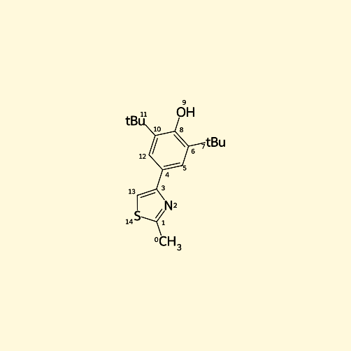 Cc1nc(-c2cc(C(C)(C)C)c(O)c(C(C)(C)C)c2)cs1